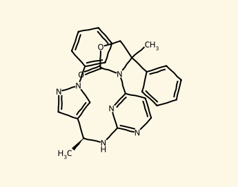 C[C@H](Nc1nccc(N2C(=O)OCC2(C)c2ccccc2)n1)c1cnn(-c2ccccc2)c1